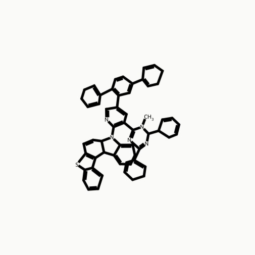 CN1C(c2cc(-c3cc(C4=CCCC=C4)ccc3C3=CCCC=C3)cnc2N2C3=CCCC=C3C3c4c(sc5ccccc45)C=CC32)=NC(C2=CCCC=C2)=NC1C1C=CC=CC1